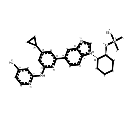 CC(C)(C)[Si](C)(C)O[C@H]1CCCC[C@@H]1n1cnc2cc(-c3cc(C4CC4)cc(Nc4cc(C#N)ccn4)n3)ccc21